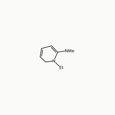 CCN1CC=CC=C1[N]C